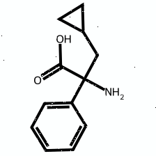 NC(CC1CC1)(C(=O)O)c1ccccc1